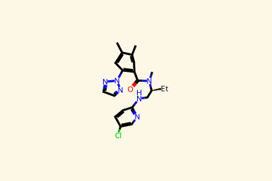 CC[C@@H](CNc1ccc(Cl)cn1)N(C)C(=O)c1cc(C)c(C)cc1-n1nccn1